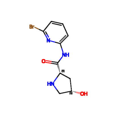 O=C(Nc1cccc(Br)n1)[C@@H]1C[C@H](O)CN1